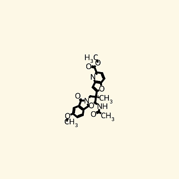 COC(=O)c1ccc2oc([C@@](C)(CN3Cc4ccc(OC)cc4C3=O)C(=O)NC(C)=O)cc2n1